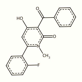 Cn1c(-c2ccccc2F)cc(O)c(C(=O)c2ccccc2)c1=O